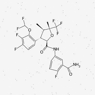 C[C@@H]1[C@@H](c2ccc(F)c(F)c2OC(F)F)[C@H](C(=O)Nc2ccc(F)c(C(N)=O)c2)O[C@@]1(C)C(F)(F)F